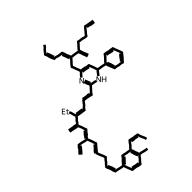 C=CCCC(=C)/C(=C/C=C\C)CC1=CC(c2ccccc2)NC(/C=C/C=C(\CC)C(=C)/C=C(C=C)/C=C/C/C=C\c2ccc(C)c(/C=C\C)c2)=N1